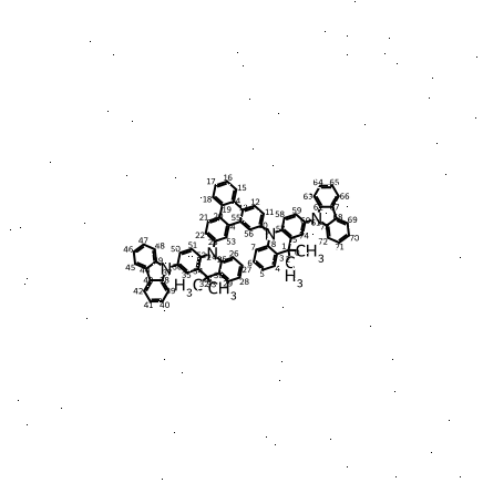 CC1(C)c2ccccc2N(c2ccc3c4ccccc4c4ccc(N5c6ccccc6C(C)(C)c6cc(-n7c8ccccc8c8ccccc87)ccc65)cc4c3c2)c2ccc(-n3c4ccccc4c4ccccc43)cc21